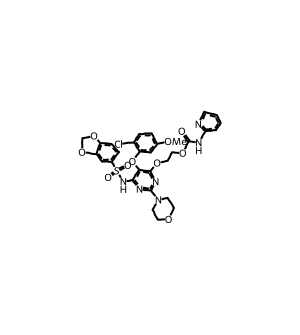 COc1ccc(Cl)c(Oc2c(NS(=O)(=O)c3ccc4c(c3)OCO4)nc(N3CCOCC3)nc2OCCOC(=O)Nc2ccccn2)c1